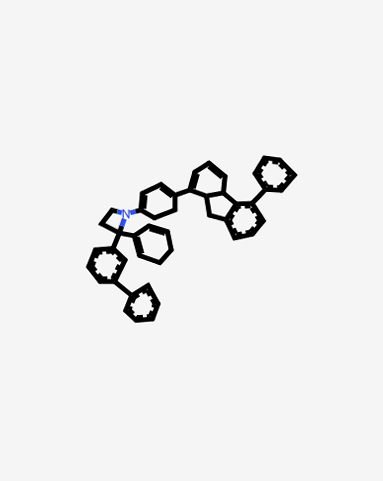 C1=CC2c3c(cccc3-c3ccccc3)CC2C(C2=CC=C(N3CCC3(C3=CCCC=C3)c3cccc(-c4ccccc4)c3)CC2)=C1